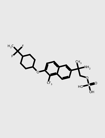 CC(N)(COP(=O)(O)O)c1ccc2c(C(F)(F)F)c(OC3CCC(C(C)(F)F)CC3)ccc2c1